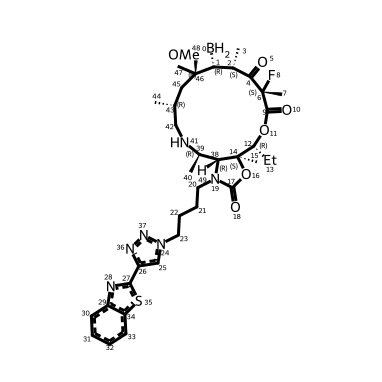 B[C@@H]1[C@H](C)C(=O)[C@](C)(F)C(=O)O[C@H](CC)[C@@]2(C)OC(=O)N(CCCCn3cc(-c4nc5ccccc5s4)nn3)[C@@H]2[C@@H](C)NC[C@H](C)C[C@@]1(C)OC